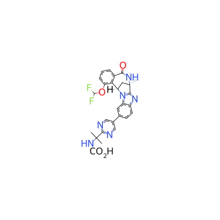 CC(C)(NC(=O)O)c1ncc(-c2ccc3nc4n(c3c2)[C@@H]2C[C@@]4(C)NC(=O)c3cccc(OC(F)F)c32)cn1